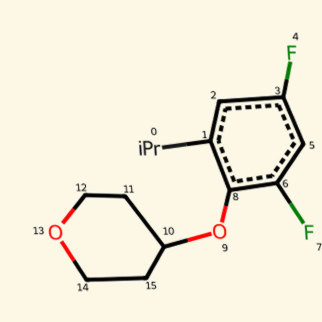 CC(C)c1cc(F)cc(F)c1OC1CCOCC1